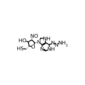 NN=NC1NC=NC2=C1NCN2[C@@H]1O[C@H](CS)C(O)[C@@H]1N=O